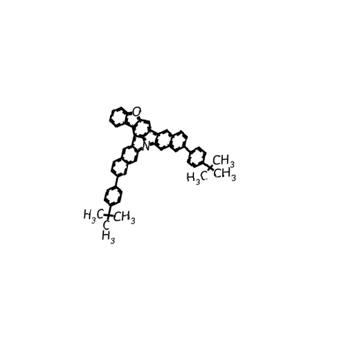 CC(C)(C)c1ccc(-c2ccc3cc4c5cc6oc7ccccc7c6c6c7cc8ccc(-c9ccc(C(C)(C)C)cc9)cc8cc7n(c4cc3c2)c56)cc1